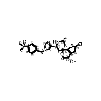 C[C@H]1C[C@@]2(C[C@@H](c3cn(Cc4ccc(S(C)(=O)=O)cc4)nn3)N1)OC[C@@H](O)c1cc(Cl)sc12